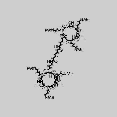 CNCCCC[C@@H]1NC(=O)[C@@H](C)NC(=O)[C@H](CCCCNC)NC(=O)[C@@H](CCCCNC(=O)CCCCCC(=O)NCCCC[C@@H]2NC(=O)[C@@H](CCCCNC)NC(=O)[C@H](C)NC(=O)[C@@H](CCCCNC)NC(=O)[C@H](C)NC(=O)[C@@H](CCCCNC)NC2=O)NC(=O)[C@H](CCCCNC)NC(=O)[C@@H](C)NC1=O